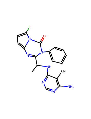 CC(Nc1ncnc(N)c1C#N)c1nc2ccc(F)n2c(=O)n1-c1ccccc1